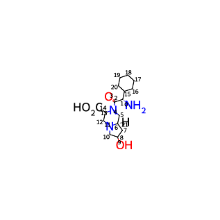 N[C@H](C(=O)N1C[C@H]2CC(O)CN2CC1C(=O)O)C1CCCCC1